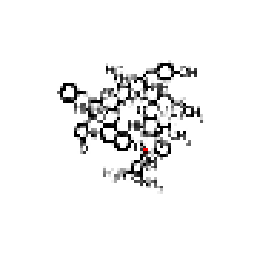 CSCC[C@@H](NC(=O)[C@H](Cc1ccc(O)cc1)NC(=O)[C@H](CO)NC(=O)[C@H](Cc1cccc2ccccc12)NC(=O)[C@@H](Cc1ccccc1)NC(=O)[C@@H]1CCC(=O)N1)C(=O)N[C@@H](CC(C)C)C(=O)N[C@@H](CCCNC(=N)N)C(=O)N1CCC[C@H]1C(=O)NCC(N)=O